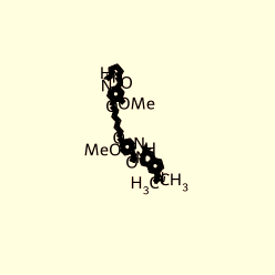 COc1cc2c(cc1OCCCCCOc1cc3c(cc1OC)C(=O)N1Cc4cc(N(C)C)ccc4C[C@H]1C=N3)N=C[C@@H]1CCCN1C2=O